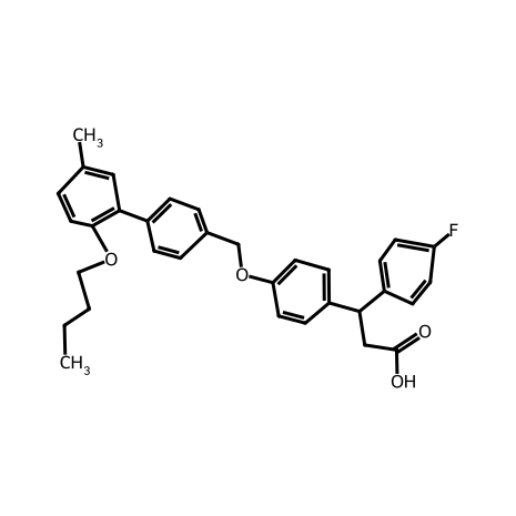 CCCCOc1ccc(C)cc1-c1ccc(COc2ccc(C(CC(=O)O)c3ccc(F)cc3)cc2)cc1